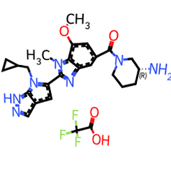 COc1cc(C(=O)N2CCC[C@@H](N)C2)cc2nc(-c3cc4cn[nH]c4n3CC3CC3)n(C)c12.O=C(O)C(F)(F)F